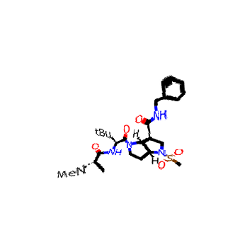 CN[C@@H](C)C(=O)N[C@H](C(=O)N1CC[C@@H]2[C@H]1[C@@H](C(=O)NCc1ccccc1)CN2S(C)(=O)=O)C(C)(C)C